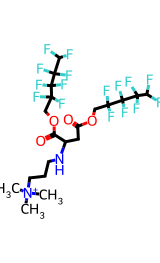 C[N+](C)(C)CCCNC(CC(=O)OCC(F)(F)C(F)(F)C(F)(F)C(F)F)C(=O)OCC(F)(F)C(F)(F)C(F)(F)C(F)F